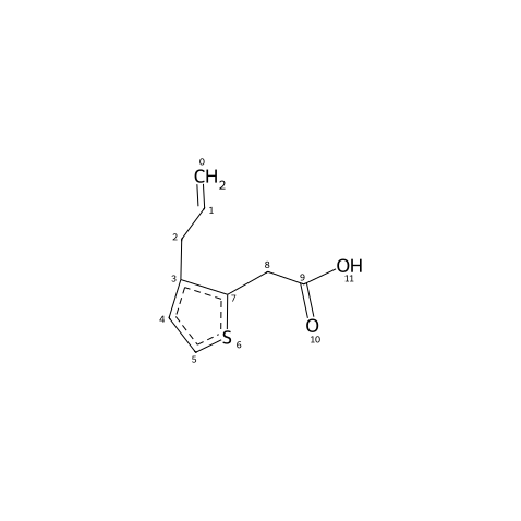 C=CCc1ccsc1CC(=O)O